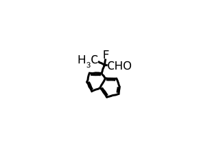 CC(F)(C=O)c1cccc2ccccc12